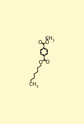 CCCCCCCOC(=O)c1ccc(C(=O)OC)cc1